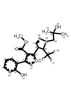 COC(=O)c1c(-c2cccnc2O)noc1C1C=NN(CC(C)(C)O)C1C(F)(F)F